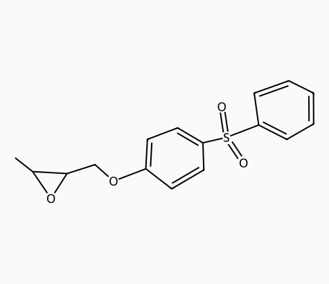 CC1OC1COc1ccc(S(=O)(=O)c2ccccc2)cc1